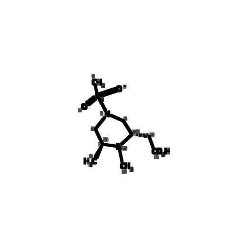 C[C@H]1CN(S(C)(=O)=O)C[C@H](CC(=O)O)N1C